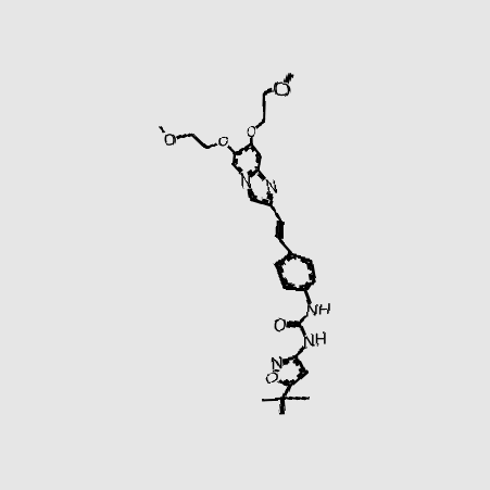 COCCOc1cc2nc(C#Cc3ccc(NC(=O)Nc4cc(C(C)(C)C)on4)cc3)cn2cc1OCCOC